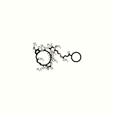 COc1cc2cc(c1Cl)N(C)C(=O)C[C@@H](OC(=O)[C@@H](C)N(C)C(=O)CCSSC(C)CCC(=O)C1CCCCCCCCCCC1)[C@@]1(C)O[C@@H]1[C@@H](C)[C@H]1C[C@](O)(NC(=O)O1)[C@@H](OC)/C=C/C=C(\C)C2